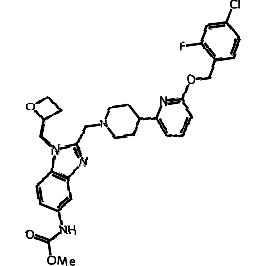 COC(=O)Nc1ccc2c(c1)nc(CN1CCC(c3cccc(OCc4ccc(Cl)cc4F)n3)CC1)n2CC1CCO1